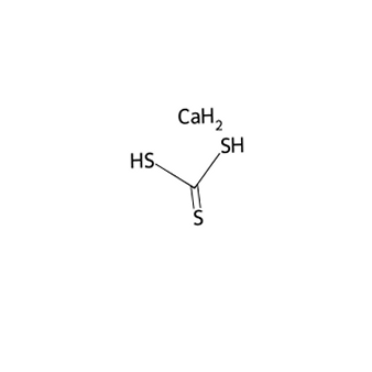 S=C(S)S.[CaH2]